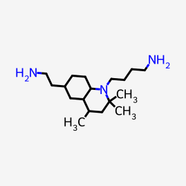 CC1CC(C)(C)N(CCCCN)C2CCC(CCN)CC12